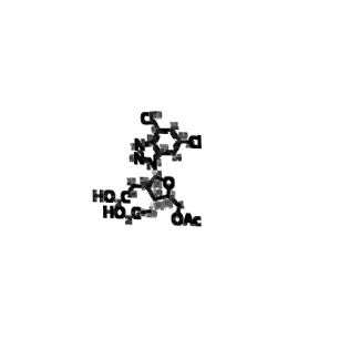 CC(=O)OC[C@@H]1O[C@@H](n2nnc3c(Cl)cc(Cl)cc32)[C@H](CC(=O)O)[C@H]1CC(=O)O